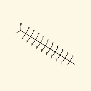 [CH2]C(F)(F)C(F)(F)C(F)(F)C(F)(F)C(F)(F)C(F)(F)C(F)(F)C(F)(F)C(F)(F)C(F)(F)C(F)F